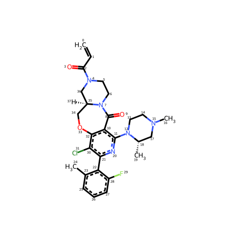 C=CC(=O)N1CCN2C(=O)c3c(N4CCN(C)C[C@@H]4C)nc(-c4c(C)cccc4F)c(Cl)c3OC[C@H]2C1